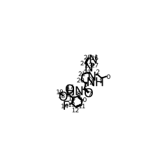 CCCN1NC(C(=O)Nc2cccc(F)c2C(=O)OC)CCC1n1ccnc1